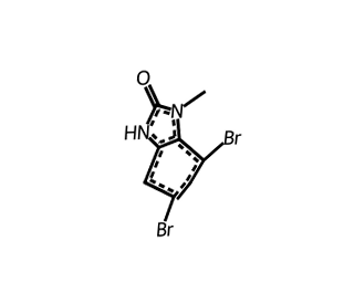 Cn1c(=O)[nH]c2cc(Br)cc(Br)c21